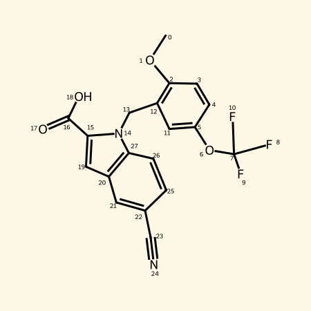 COc1ccc(OC(F)(F)F)cc1Cn1c(C(=O)O)cc2cc(C#N)ccc21